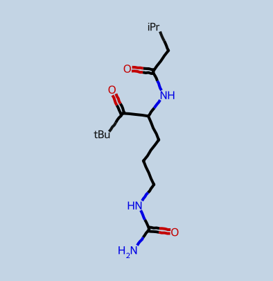 CC(C)CC(=O)NC(CCCNC(N)=O)C(=O)C(C)(C)C